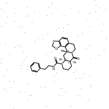 O=C1[C@H]2CCCN(C(=O)NCCc3ccccc3)[C@H]2C[C@@H]2c3c(ccc4c3OCO4)CCN12